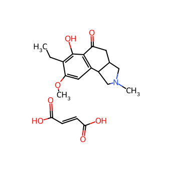 CCc1c(OC)cc2c(c1O)C(=O)CC1CN(C)CC21.O=C(O)C=CC(=O)O